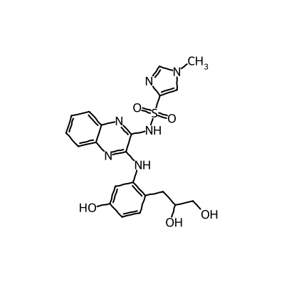 Cn1cnc(S(=O)(=O)Nc2nc3ccccc3nc2Nc2cc(O)ccc2CC(O)CO)c1